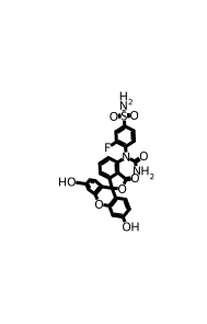 NC(=O)N(c1ccc(S(N)(=O)=O)cc1F)c1cccc2c1C(=O)OC21c2ccc(O)cc2Oc2cc(O)ccc21